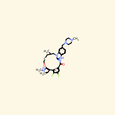 C=C/C1=C(\NC)OCCCC(C)CN2/C(=N/C(=O)c3cc(F)c(F)c1c3)Nc1ccc(CN3CCN(C)CC3)cc12